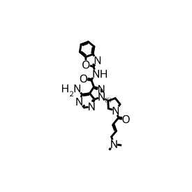 CN(C)CC=CC(=O)N1CC[C@H](n2nc(C(=O)Nc3nc4ccccc4o3)c3c(N)ncnc32)C1